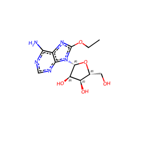 CCOc1nc2c(N)ncnc2n1[C@@H]1O[C@H](CO)[C@@H](O)[C@H]1O